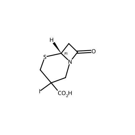 O=C1C[C@H]2SCC(I)(C(=O)O)CN12